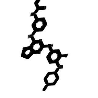 C=CC(=O)Nc1cccc(Nc2nc(Nc3ccc(NC4CCN(C)CC4)c(F)c3)nc3ccsc23)c1